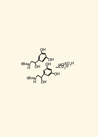 CC(=O)O.CC(C)(C)NCC(O)c1cc(O)cc(O)c1.CC(C)(C)NCC(O)c1cc(O)cc(O)c1.O=S(=O)(O)O